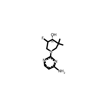 CC1(C)CN(c2nccc(N)n2)CC(F)[C@@H]1O